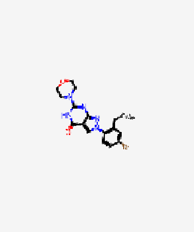 COCc1cc(Br)ccc1-n1cc2c(=O)[nH]c(N3CCOCC3)nc2n1